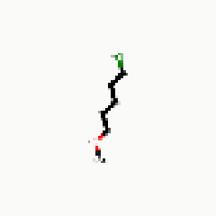 CC(=O)OCCCCCCl